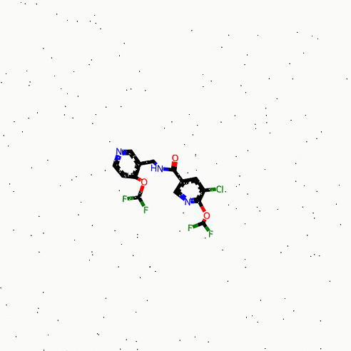 O=C(NCc1cnccc1OC(F)F)c1cnc(OC(F)F)c(Cl)c1